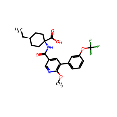 CC[C@H]1CC[C@](NC(=O)c2cnc(OC)c(-c3cccc(OC(F)(F)F)c3)c2)(C(=O)O)CC1